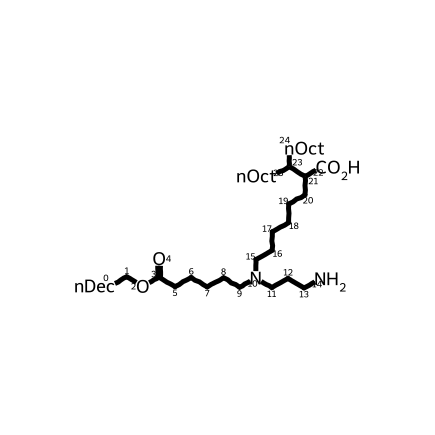 CCCCCCCCCCCOC(=O)CCCCCN(CCCN)CCCCCCC(C(=O)O)C(CCCCCCCC)CCCCCCCC